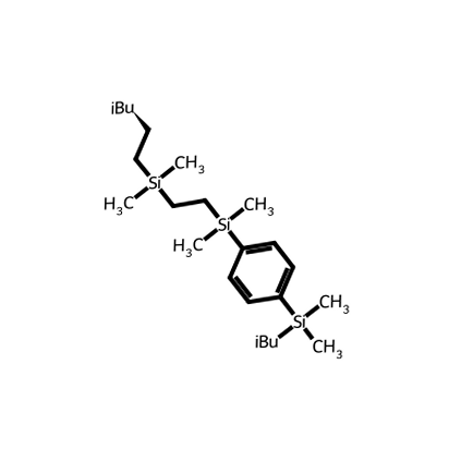 CCC(C)[Si](C)(C)c1ccc([Si](C)(C)CC[Si](C)(C)CC[C@H](C)CC)cc1